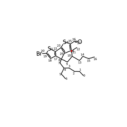 CCCCC(CC)CC1(CC(CC)CCCC)c2cc(Br)sc2-c2sc(C=O)cc21